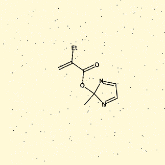 C=C(CC)C(=O)OC1(C)N=CC=N1